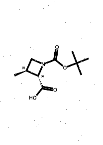 C[C@H]1CN(C(=O)OC(C)(C)C)[C@@H]1C(=O)O